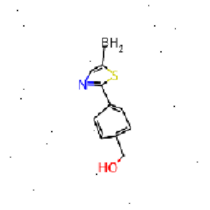 Bc1cnc(-c2ccc(CO)cc2)s1